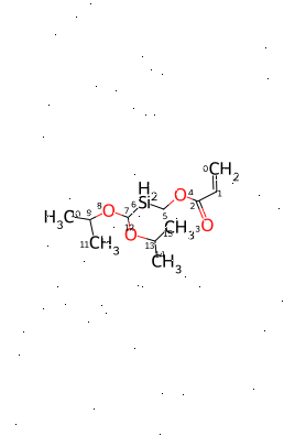 C=CC(=O)OC[SiH2]C(OC(C)C)OC(C)C